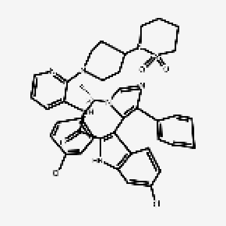 C[C@@H](c1ccc(Cl)cc1)n1cnc(-c2ccccc2)c1-c1c(C(=O)Nc2cccnc2N2CCC(N3CCCCS3(=O)=O)CC2)[nH]c2cc(Cl)ccc12